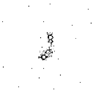 CC(C)(CC(O)(CNc1cc2ccc(C(=O)O)cc2[nH]1)C(F)(F)F)c1cc(F)ccc1O